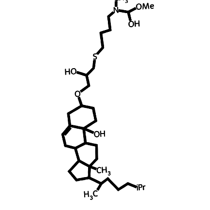 COC(O)N(C)CCCCSCC(O)COC1CCC2(O)C(=CCC3C2CCC2(C)C(C(C)CCCC(C)C)CCC32)C1